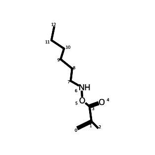 C=C(C)C(=O)ONCCCCCC